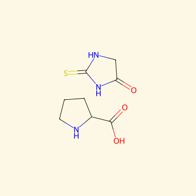 O=C(O)C1CCCN1.O=C1CNC(=S)N1